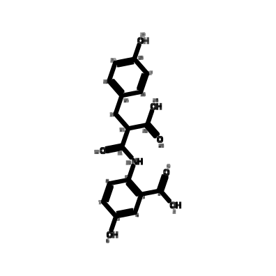 O=C(O)c1cc(O)ccc1NC(=O)C(Cc1ccc(O)cc1)C(=O)O